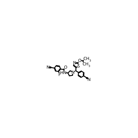 CC(C)Oc1ncc([C@@H](c2ccc(C#N)cc2)N2CCC(NC(=O)c3ccc(C#N)cc3F)C2)s1